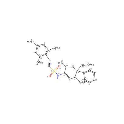 COc1cc(OC)c(/C=C/S(=O)(=O)NC2=CC(S(=O)(=O)O)C(c3ccccc3OC)([N+](=O)[O-])C=C2[N+](=O)[O-])c(OC)c1